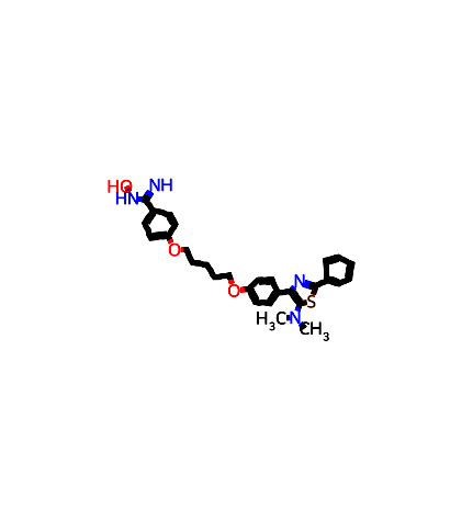 CN(C)c1sc(-c2ccccc2)nc1-c1ccc(OCCCCCOc2ccc(C(=N)NO)cc2)cc1